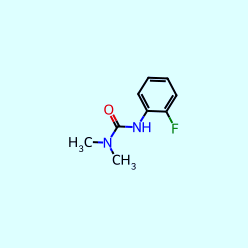 CN(C)C(=O)Nc1ccccc1F